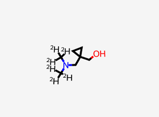 [2H]C([2H])([2H])N(CC1(CO)CC1)C([2H])([2H])[2H]